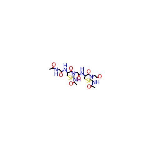 CC(=O)NCC(=O)NC(CS)C(=O)N(CNC(C)=O)CC(=O)NC(CS)C(=O)N(C[C]=O)CNC(C)=O